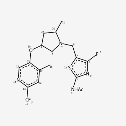 CC(=O)Nc1nc(F)c(CN2CC(Oc3cnc(C(F)(F)F)cc3C)CC2C)s1